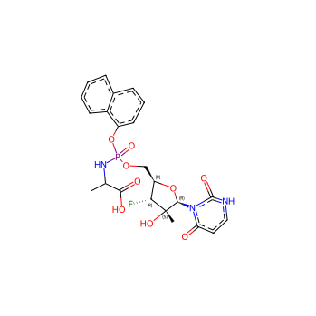 CC(NP(=O)(OC[C@H]1O[C@@H](n2c(=O)cc[nH]c2=O)[C@](C)(O)[C@@H]1F)Oc1cccc2ccccc12)C(=O)O